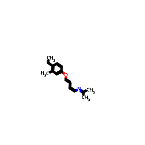 CCc1ccc(O/C=C/C=C\N=C(C)C)cc1C